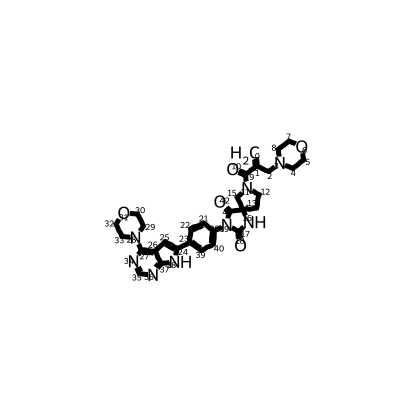 C=C(CN1CCOCC1)C(=O)N1CCC2(C1)NC(=O)N(c1ccc(-c3cc4c(N5CCOCC5)ncnc4[nH]3)cc1)C2=O